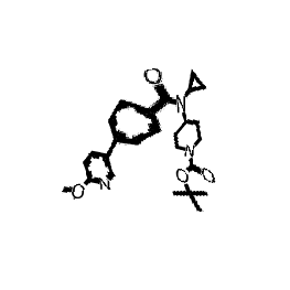 COc1ccc(-c2ccc(C(=O)N(C3CC3)C3CCN(C(=O)OC(C)(C)C)CC3)cc2)cn1